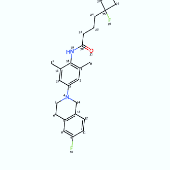 Cc1cc(N2CCc3cc(F)ccc3C2)cc(C)c1NC(=O)CCCC1(F)CCC1